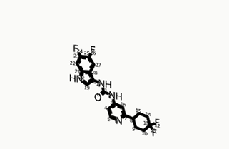 O=C(Nc1ccnc(C2CCC(F)(F)CC2)c1)Nc1c[nH]c2cc(F)c(F)cc12